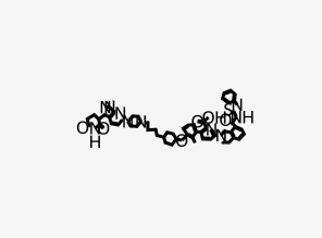 Cc1c(OC2CCC(CCCCN3CCN(c4ccc5c(C6CCC(=O)NC6=O)nn(C)c5n4)CC3)CC2)cccc1-c1ccc(N2CCc3cccc(C(=O)Nc4nc5ccccc5s4)c3C2)nc1C(=O)O